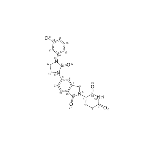 O=C1CCC(N2Cc3cc(N4CCN(c5cccc(Cl)c5)C4=O)ccc3C2=O)C(=O)N1